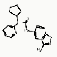 Cc1n[nH]c2ccc(NC(=O)C(c3ccccn3)C3CCCC3)cc12